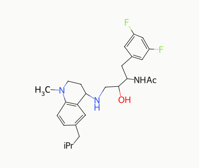 CC(=O)NC(Cc1cc(F)cc(F)c1)C(O)CNC1CCN(C)c2ccc(CC(C)C)cc21